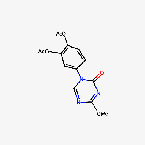 COc1ncn(-c2ccc(OC(C)=O)c(OC(C)=O)c2)c(=O)n1